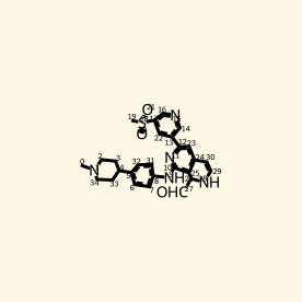 CN1CCC(c2ccc(Nc3nc(-c4cncc(S(C)(=O)=O)c4)cc4c3C(C=O)NC=C4)cc2)CC1